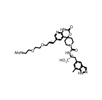 CNCCOCCOC/C=C/c1cnc2c(c1)C1(CCN(C(=O)N[C@H](Cc3cc(C)c4[nH]ncc4c3)C(=O)O)CC1)OC(=O)N2